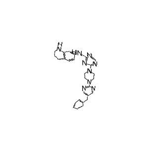 c1ccc(Cc2cnc(N3CCN(c4ncnc(Nc5ccc6c(c5)NCCC6)n4)CC3)nc2)cc1